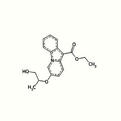 CCOC(=O)c1c2ccccc2n2cc(OC(C)CO)ccc12